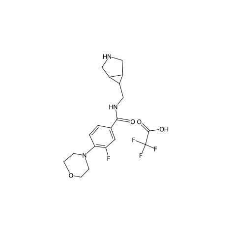 O=C(NCC1C2CNCC21)c1ccc(N2CCOCC2)c(F)c1.O=C(O)C(F)(F)F